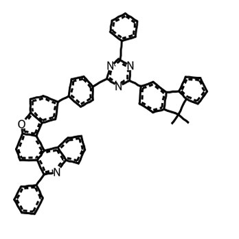 CC1(C)c2ccccc2-c2cc(-c3nc(-c4ccccc4)nc(-c4ccc(-c5ccc6oc7ccc8c(-c9ccccc9)nc9ccccc9c8c7c6c5)cc4)n3)ccc21